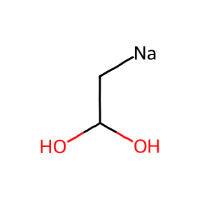 OC(O)[CH2][Na]